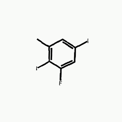 Cc1cc(I)cc(F)c1I